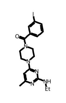 CCNc1nc(C)cc(N2CCN(C(=O)c3cccc(I)c3)CC2)n1